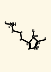 CNCCCc1cnc(C)n1C